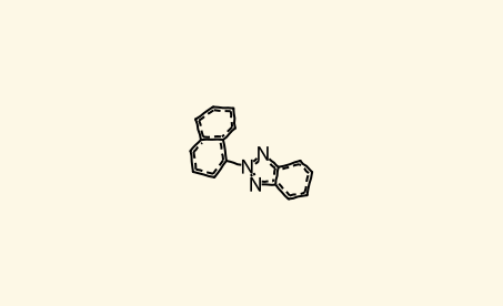 c1ccc2c(-n3nc4ccccc4n3)cccc2c1